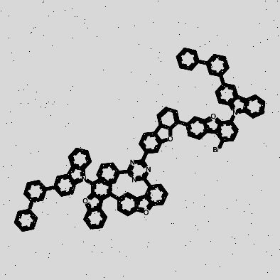 Brc1ccc(-n2c3ccccc3c3cc(-c4cccc(-c5ccccc5)c4)ccc32)c2oc3cc(C4=CC=CC5c6ccc(-c7nc(-c8ccccc8)nc(-c8cccc9oc%10ccc(-c%11ccc(-n%12c%13ccccc%13c%13cc(-c%14cccc(-c%15ccccc%15)c%14)ccc%13%12)c%12oc%13ccccc%13c%11%12)cc%10c89)n7)cc6OC45)ccc3c12